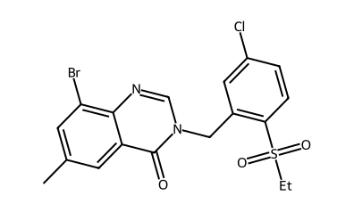 CCS(=O)(=O)c1ccc(Cl)cc1Cn1cnc2c(Br)cc(C)cc2c1=O